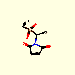 C=CS(=O)(=O)C(C)N1C(=O)C=CC1=O